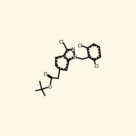 CC(C)(C)OC(=O)Cc1ccc2c(Cl)nn(Cc3c(Cl)cccc3Cl)c2c1